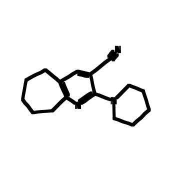 N#Cc1cc2c(nc1N1CCCCC1)CCCCC2